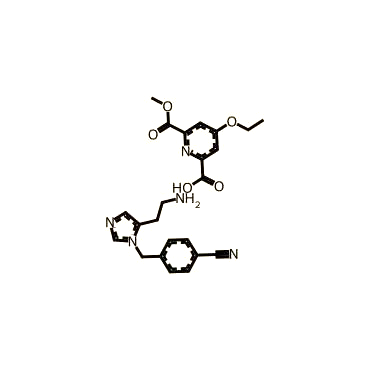 CCOc1cc(C(=O)O)nc(C(=O)OC)c1.N#Cc1ccc(Cn2cncc2CCN)cc1